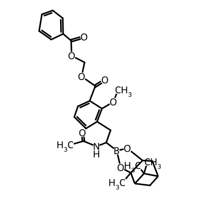 COc1c(CC(NC(C)=O)B2OC3CC4CC(C4(C)C)C3(C)O2)cccc1C(=O)OCOC(=O)c1ccccc1